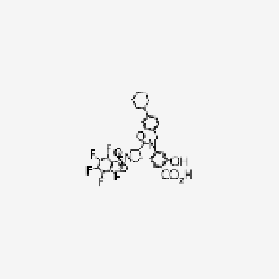 O=C(O)c1ccc(N(Cc2ccc(C3CCCCC3)cc2)C(=O)[C@H]2CCN(S(=O)(=O)c3c(F)c(F)c(F)c(F)c3F)C2)cc1O